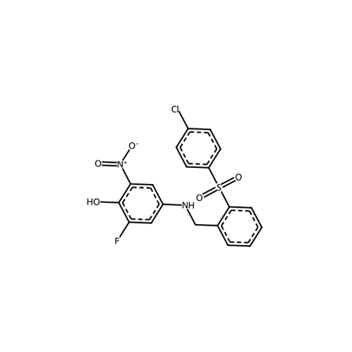 O=[N+]([O-])c1cc(NCc2ccccc2S(=O)(=O)c2ccc(Cl)cc2)cc(F)c1O